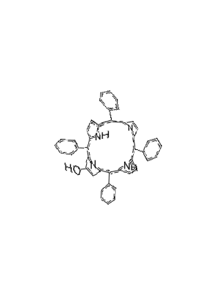 OC1=Cc2nc1c(-c1ccccc1)c1ccc([nH]1)c(-c1ccccc1)c1nc(c(-c3ccccc3)c3ccc([nH]3)c2-c2ccccc2)C=C1